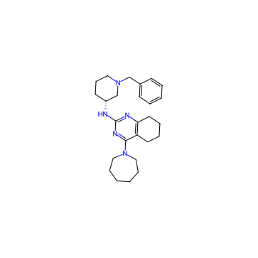 c1ccc(CN2CCC[C@@H](Nc3nc4c(c(N5CCCCCC5)n3)CCCC4)C2)cc1